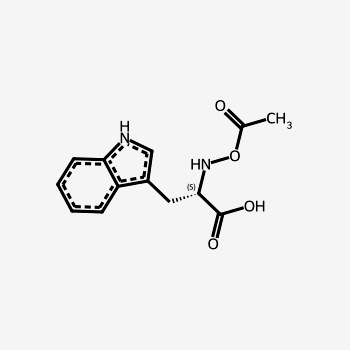 CC(=O)ON[C@@H](Cc1c[nH]c2ccccc12)C(=O)O